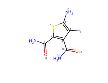 Cc1c(N)sc(C(N)=O)c1C(N)=O